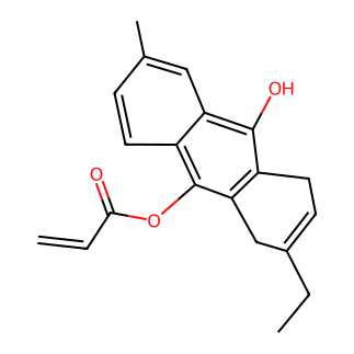 C=CC(=O)Oc1c2c(c(O)c3cc(C)ccc13)CC=C(CC)C2